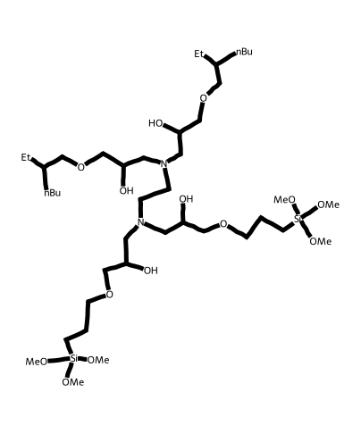 CCCCC(CC)COCC(O)CN(CCN(CC(O)COCCC[Si](OC)(OC)OC)CC(O)COCCC[Si](OC)(OC)OC)CC(O)COCC(CC)CCCC